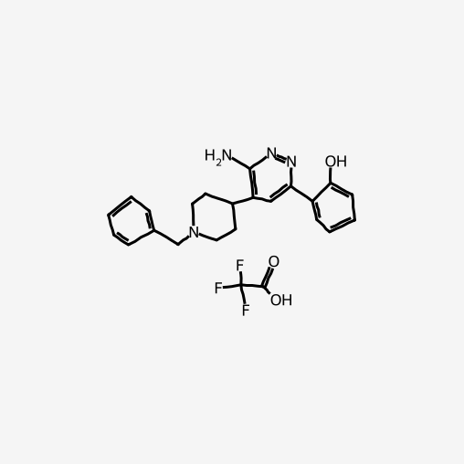 Nc1nnc(-c2ccccc2O)cc1C1CCN(Cc2ccccc2)CC1.O=C(O)C(F)(F)F